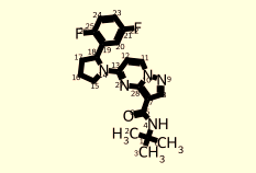 CC(C)(C)NC(=O)c1cnn2ccc(N3CCCC3c3cc(F)ccc3F)nc12